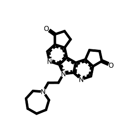 O=C1CCc2c1cnc1c2c2c3c(cnc2n1CCN1CCCCCC1)C(=O)CC3